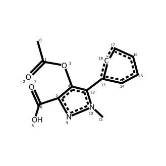 CC(=O)Oc1c(C(=O)O)nn(C)c1-c1ccccc1